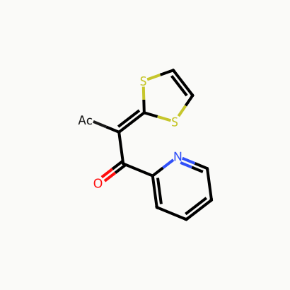 CC(=O)C(C(=O)c1ccccn1)=C1SC=CS1